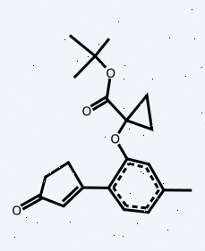 Cc1ccc(C2=CC(=O)CC2)c(OC2(C(=O)OC(C)(C)C)CC2)c1